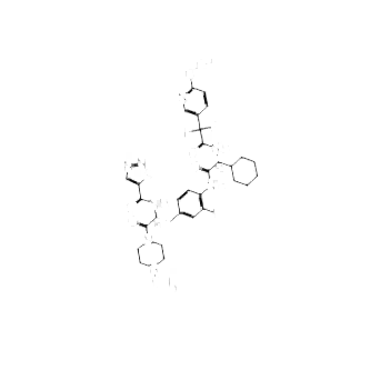 COc1ccc(C(F)(F)C(=O)N[C@H](C(=O)Nc2ccc(C[C@@H](NC(=O)c3cnns3)C(=O)N3CCN(C)CC3)cc2F)C2CCCCC2)cn1